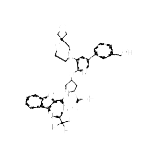 C[C@@H]1N(c2cc(-c3cccc(CO)c3)cnc2O[C@H]2C[C@@H](C(=O)O)N(c3nc(C(F)(F)F)nc4c3oc3ccccc34)C2)CCOC12COC2